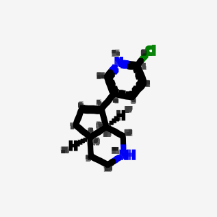 Clc1ccc(C2=CC[C@@H]3CCNC[C@H]23)cn1